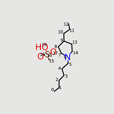 CCCCCCN1CCC(CCC)CC1.CS(=O)(=O)O